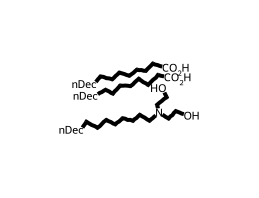 CCCCCCCCCCCCCCCCCC(=O)O.CCCCCCCCCCCCCCCCCC(=O)O.CCCCCCCCCCCCCCCCCCN(CCO)CCO